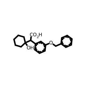 O=C(O)C(c1cccc(OCc2ccccc2)c1)C1(O)CCCCC1